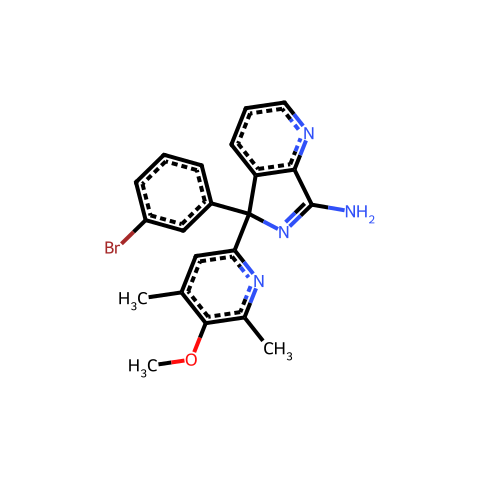 COc1c(C)cc(C2(c3cccc(Br)c3)N=C(N)c3ncccc32)nc1C